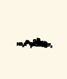 COc1cc(F)c(OCc2cccc(C(=O)O)c2)cc1C(=O)NC1C2C=CC(C2)C1C(=O)Nc1cccc(S(=O)(=O)C(F)(F)F)c1